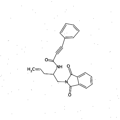 C=CCC(CN1C(=O)c2ccccc2C1=O)NC(=O)C#Cc1ccccc1